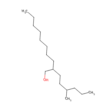 CCCCCCCCC(CO)CCC(C)CCC